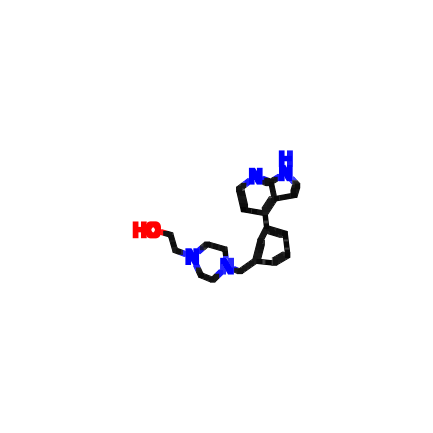 OCCN1CCN(Cc2cccc(-c3ccnc4[nH]ccc34)c2)CC1